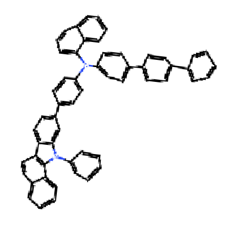 c1ccc(-c2ccc(-c3ccc(N(c4ccc(-c5ccc6c7ccc8ccccc8c7n(-c7ccccc7)c6c5)cc4)c4cccc5ccccc45)cc3)cc2)cc1